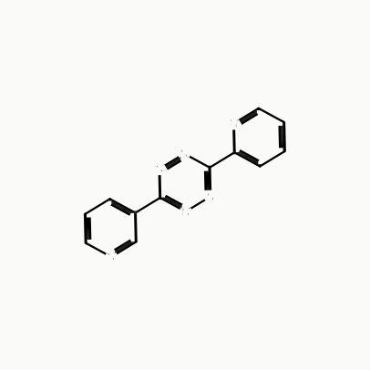 c1ccc(-c2nnc(-c3cccnc3)nn2)nc1